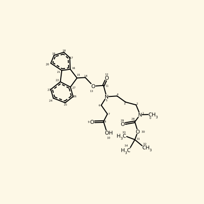 CN(CCCN(CCC(=O)O)C(=O)OCC1c2ccccc2-c2ccccc21)C(=O)OC(C)(C)C